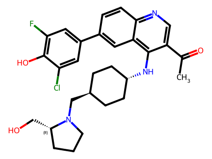 CC(=O)c1cnc2ccc(-c3cc(F)c(O)c(Cl)c3)cc2c1N[C@H]1CC[C@H](CN2CCC[C@@H]2CO)CC1